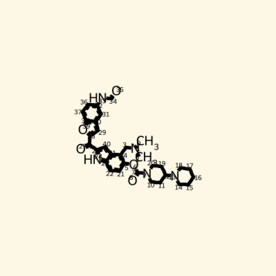 CN(C)Cc1c(OC(=O)N2CCC(N3CCCCC3)CC2)ccc2[nH]c(C(=O)c3cc4cc(NC=O)ccc4o3)cc12